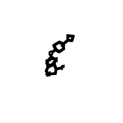 FC1C[N]Cc2sc(OC3CCN(C4CCC4)CC3)nc21